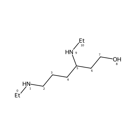 CCNCCCC(CCO)NCC